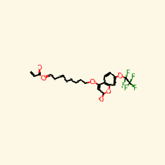 C=CC(=O)OCCCCCCCCOc1cc(=O)oc2cc(OC(F)(F)C(F)(F)F)ccc12